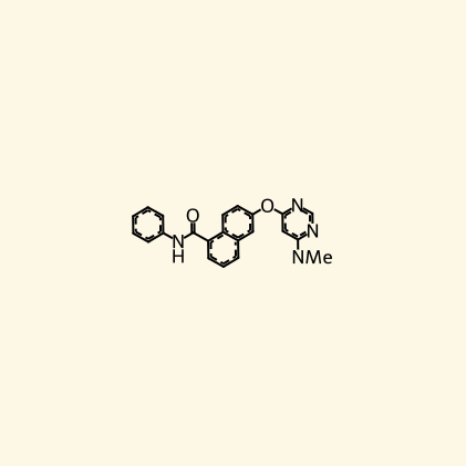 CNc1cc(Oc2ccc3c(C(=O)Nc4ccccc4)cccc3c2)ncn1